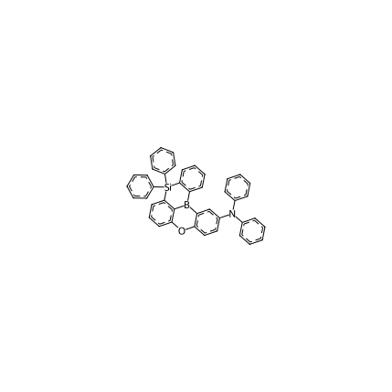 c1ccc(N(c2ccccc2)c2ccc3c(c2)B2c4ccccc4[Si](c4ccccc4)(c4ccccc4)c4cccc(c42)O3)cc1